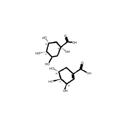 O=C(O)C1=C[C@@H](O)[C@@H](O)[C@H](O)C1.O=C(O)[C@@]1(O)CC(O)[C@H](O)[C@H](O)C1